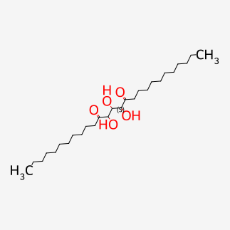 CCCCCCCCCCCC(=O)C(O)C(O)[C@H](O)C(=O)CCCCCCCCCCC